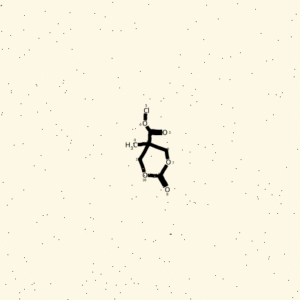 CC1(C(=O)OCl)COC(=O)OC1